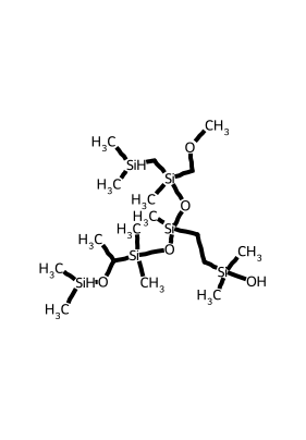 COC[Si](C)(C[SiH](C)C)O[Si](C)(CC[Si](C)(C)O)O[Si](C)(C)C(C)O[SiH](C)C